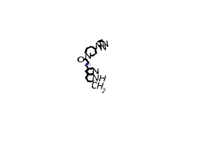 C=C1CCc2cc(/C=C/C(=O)N3CCCC(n4ccnn4)CC3)cnc2N1